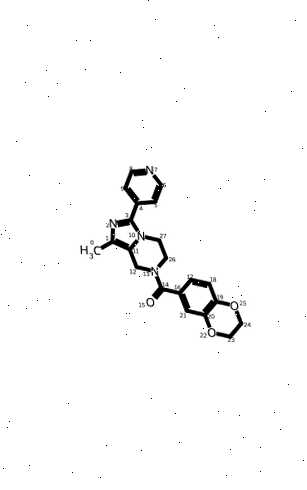 Cc1nc(-c2ccncc2)n2c1CN(C(=O)c1ccc3c(c1)OCCO3)CC2